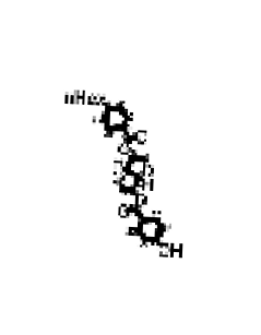 CCCCCCc1ccc(C(=O)O[C@@H]2CO[C@H]3[C@@H]2OC[C@H]3OC(=O)c2ccc(O)cc2)cc1